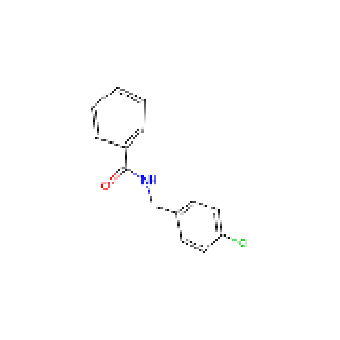 O=C(NCc1ccc(Cl)cc1)c1ccccc1